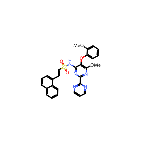 COc1ccccc1Oc1c(NS(=O)(=O)C=Cc2cccc3ccccc23)nc(-c2ncccn2)nc1OC